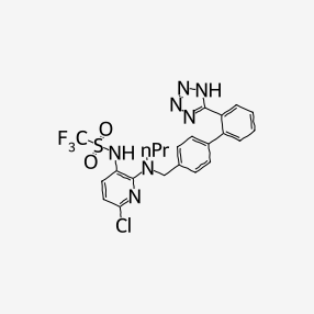 CCCN(Cc1ccc(-c2ccccc2-c2nnn[nH]2)cc1)c1nc(Cl)ccc1NS(=O)(=O)C(F)(F)F